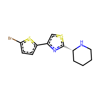 Brc1ccc(-c2csc([C@H]3CCCCN3)n2)s1